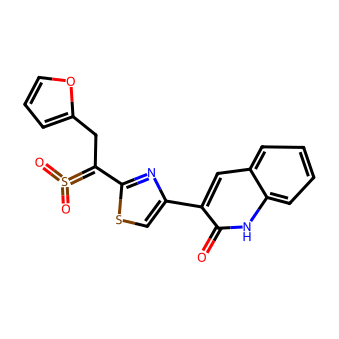 O=c1[nH]c2ccccc2cc1-c1csc(C(Cc2ccco2)=S(=O)=O)n1